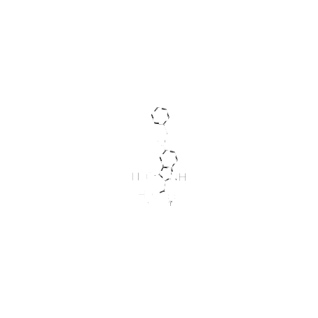 C=C(OCC)c1[nH]c2ccc(OCc3ccccc3)cc2c1C